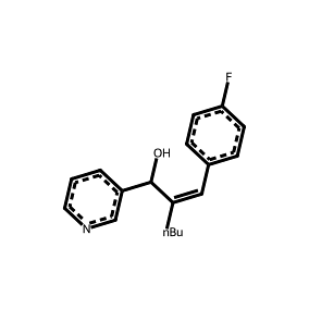 CCCCC(=Cc1ccc(F)cc1)C(O)c1cccnc1